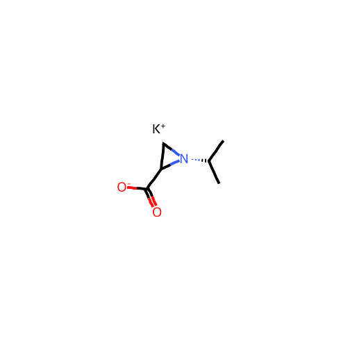 CC(C)[N@@]1CC1C(=O)[O-].[K+]